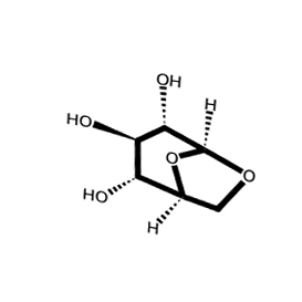 O[C@H]1[C@H](O)[C@H]2OC[C@H](O2)[C@@H]1O